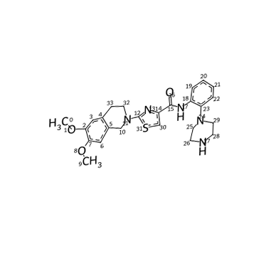 COc1cc2c(cc1OC)CN(c1nc(C(=O)Nc3ccccc3N3CCNCC3)cs1)CC2